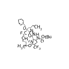 C=CCCC(OCc1ccccc1)(c1nnc(-c2nc(O[C@@H](C)CC=C)c(C(F)(F)F)cc2NC(=O)OC(C)(C)C)o1)C(F)(F)F